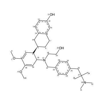 COC1=CC([C@@H]2CCc3cc(O)ccc3C2)C(N(CCO)Cc2ccc(CC(C)(C)N(C)C)cc2)C=C1OC